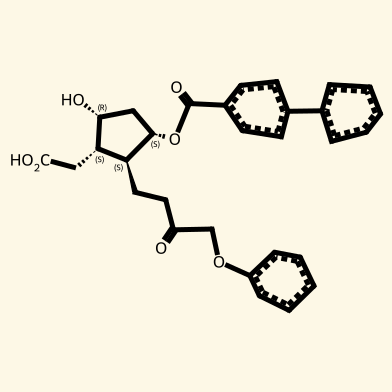 O=C(O)C[C@H]1[C@H](CCC(=O)COc2ccccc2)[C@@H](OC(=O)c2ccc(-c3ccccc3)cc2)C[C@H]1O